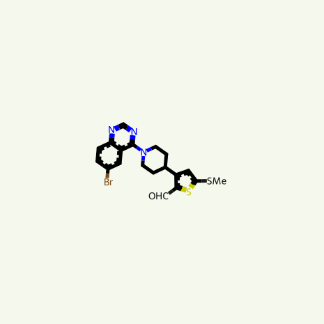 CSc1cc(C2CCN(c3ncnc4ccc(Br)cc34)CC2)c(C=O)s1